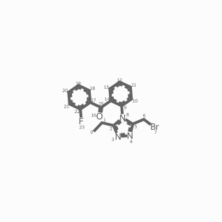 CCc1nnc(CBr)n1-c1ccccc1C(=O)c1ccccc1F